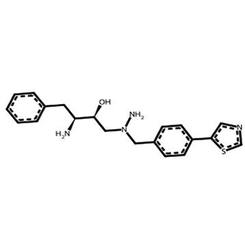 N[C@@H](Cc1ccccc1)[C@@H](O)CN(N)Cc1ccc(-c2cncs2)cc1